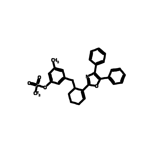 Cc1cc(CC2CCCC=C2c2nc(-c3ccccc3)c(-c3ccccc3)o2)cc(OS(=O)(=O)C(F)(F)F)c1